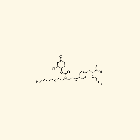 CCCCSCCN(CCOc1ccc(CC(OCC)C(=O)O)cc1)C(=O)Oc1ccc(Cl)cc1Cl